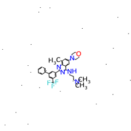 Cc1cc(N2CCOCC2)cc2c(NCCCN(C)C)nc(-c3cc(-c4ccccc4)cc(C(F)(F)F)c3)nc12